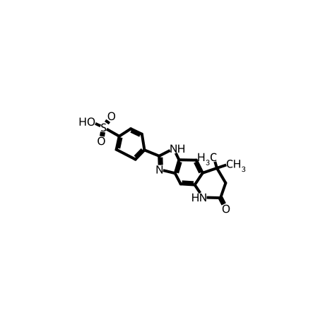 CC1(C)CC(=O)Nc2cc3nc(-c4ccc(S(=O)(=O)O)cc4)[nH]c3cc21